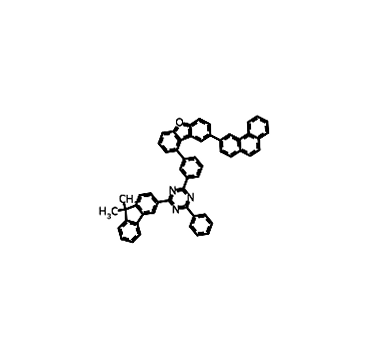 CC1(C)c2ccccc2-c2cc(-c3nc(-c4ccccc4)nc(-c4cccc(-c5cccc6oc7ccc(-c8ccc9ccc%10ccccc%10c9c8)cc7c56)c4)n3)ccc21